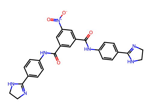 O=C(Nc1ccc(C2=NCCN2)cc1)c1cc(C(=O)Nc2ccc(C3=NCCN3)cc2)cc([N+](=O)[O-])c1